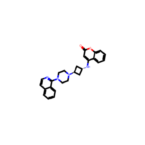 O=c1cc(N[C@H]2C[C@H](N3CCN(c4nccc5ccccc45)CC3)C2)c2ccccc2o1